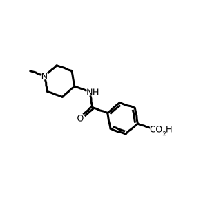 CN1CCC(NC(=O)c2ccc(C(=O)O)cc2)CC1